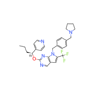 CCC[C@H](Oc1ncc2cc(C(F)(F)F)n(Cc3ccc(CN4CCCC4)cc3)c2n1)c1ccncc1